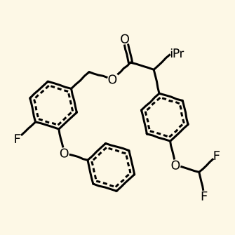 CC(C)C(C(=O)OCc1ccc(F)c(Oc2ccccc2)c1)c1ccc(OC(F)F)cc1